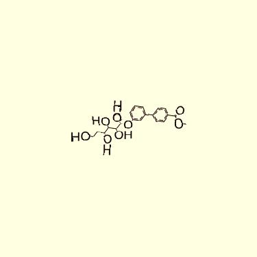 COC(=O)c1ccc(-c2cccc(O[C@@H](O)C(O)C(O)[C@H](O)CCO)c2)cc1